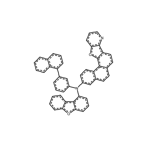 c1cc(-c2cccc3ccccc23)cc(N(c2ccc3c(ccc4ccc5c6ncccc6oc5c43)c2)c2cccc3oc4ccccc4c23)c1